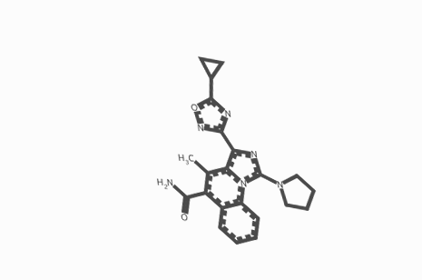 Cc1c(C(N)=O)c2ccccc2n2c(N3CCCC3)nc(-c3noc(C4CC4)n3)c12